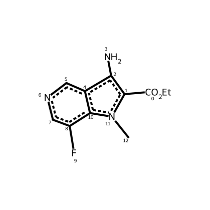 CCOC(=O)c1c(N)c2cncc(F)c2n1C